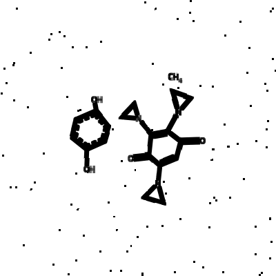 C.O=C1C=C(N2CC2)C(=O)C(N2CC2)=C1N1CC1.Oc1ccc(O)cc1